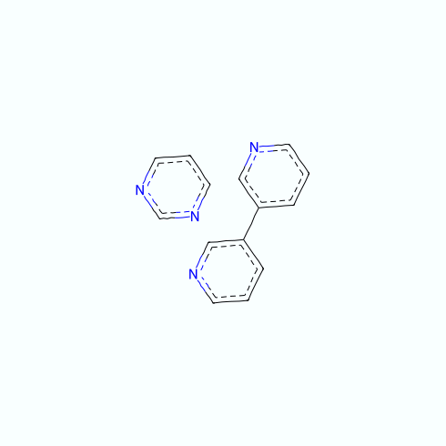 c1cncc(-c2cccnc2)c1.c1cncnc1